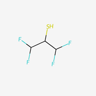 FC(F)C(S)C(F)F